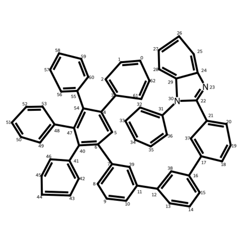 c1ccc(-c2cc(-c3cccc(-c4cccc(-c5cccc(-c6nc7ccccc7n6-c6ccccc6)c5)c4)c3)c(-c3ccccc3)c(-c3ccccc3)c2-c2ccccc2)cc1